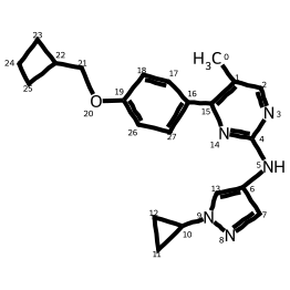 Cc1cnc(Nc2cnn(C3CC3)c2)nc1-c1ccc(OCC2CCC2)cc1